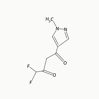 Cn1cc(C(=O)CC(=O)C(F)F)cn1